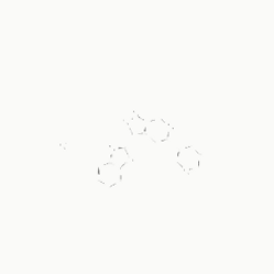 CN1CCC(c2cccc3[nH]c(-c4n[nH]c5cnc(-c6cncc(F)c6)cc45)nc23)CC1